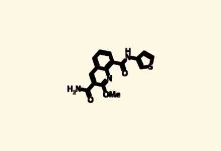 COc1nc2c(C(=O)Nc3ccsc3)cccc2cc1C(N)=O